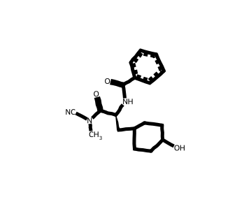 CN(C#N)C(=O)[C@H](CC1CCC(O)CC1)NC(=O)c1ccccc1